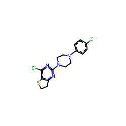 Clc1ccc(N2CCN(c3nc(Cl)c4c(n3)CCS4)CC2)cc1